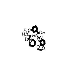 C=CC(=O)N1CCCC[C@@H](n2c(NC(O)c3cccc(C(F)(F)F)c3)nc3ccc4c(c32)OCCO4)C1